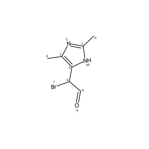 Cc1nc(C)c(C(Br)C=O)[nH]1